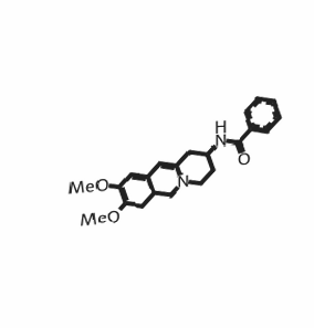 COC1=C(OC)CC2CN3CCC(NC(=O)c4ccccc4)CC3=CC2=C1